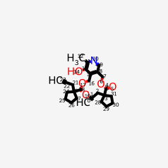 C#CCC1(C(=O)OCc2cnc(C)c(O)c2COC(=O)C2(CC#C)CCCC2)CCCC1